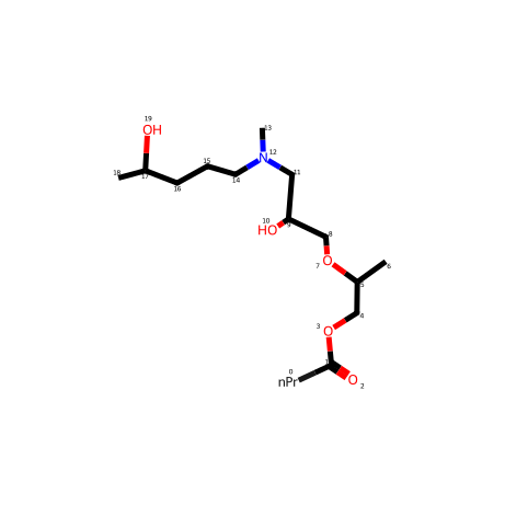 CCCC(=O)OCC(C)OCC(O)CN(C)CCCC(C)O